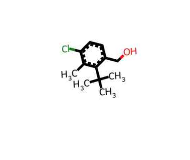 Cc1c(Cl)ccc(CO)c1C(C)(C)C